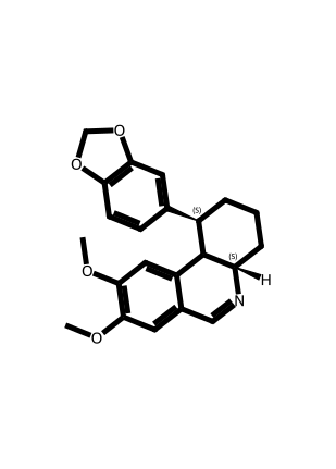 COc1cc2c(cc1OC)C1[C@H](CCC[C@@H]1c1ccc3c(c1)OCO3)N=C2